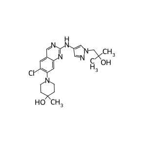 CC(C)(O)Cn1cc(Nc2ncc3cc(Cl)c(N4CCC(C)(O)CC4)cc3n2)cn1